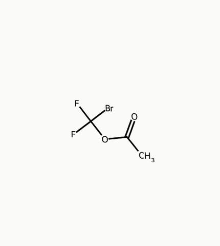 CC(=O)OC(F)(F)Br